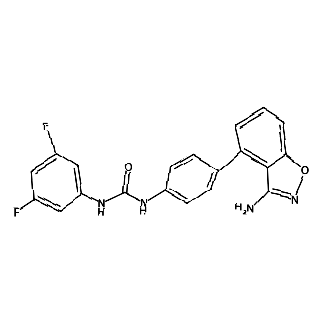 Nc1noc2cccc(-c3ccc(NC(=O)Nc4cc(F)cc(F)c4)cc3)c12